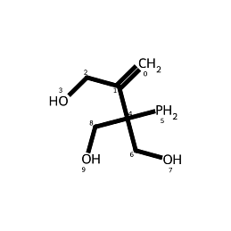 C=C(CO)C(P)(CO)CO